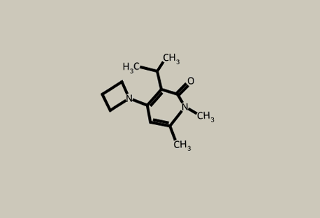 Cc1cc(N2CCC2)c(C(C)C)c(=O)n1C